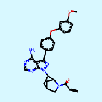 C=CC(=O)N1CC2CC1C(n1nc(-c3ccc(Oc4cccc(OC)c4)cc3)c3c(N)ncnc31)C2